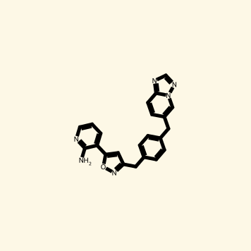 Nc1ncccc1-c1cc(Cc2ccc(Cc3ccc4ncnn4c3)cc2)no1